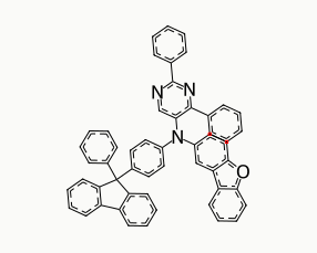 c1ccc(-c2ncc(N(c3ccc(C4(c5ccccc5)c5ccccc5-c5ccccc54)cc3)c3ccc4oc5ccccc5c4c3)c(-c3ccccc3)n2)cc1